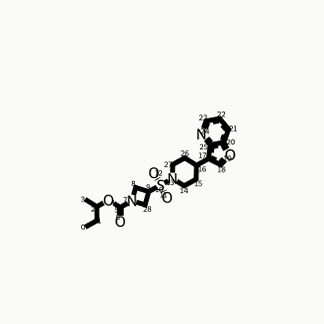 CCC(C)OC(=O)N1CC(S(=O)(=O)N2CCC(c3coc4cccnc34)CC2)C1